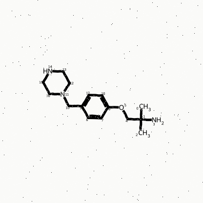 CC(C)(N)COc1ccc(CN2CCNCC2)cc1